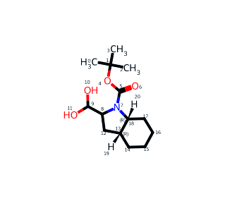 CC(C)(C)OC(=O)N1C(C(O)O)C[C@H]2CCCC[C@H]21